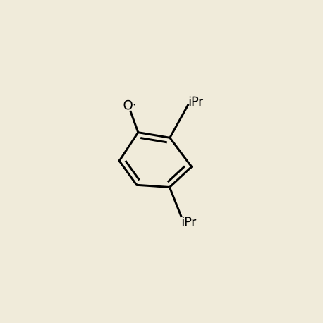 CC(C)c1ccc([O])c(C(C)C)c1